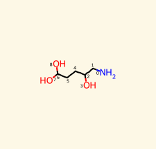 NCC(O)CCC(O)O